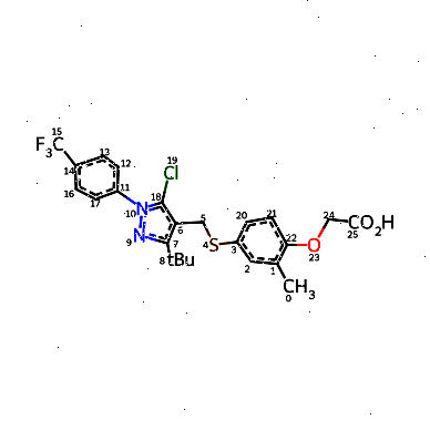 Cc1cc(SCc2c(C(C)(C)C)nn(-c3ccc(C(F)(F)F)cc3)c2Cl)ccc1OCC(=O)O